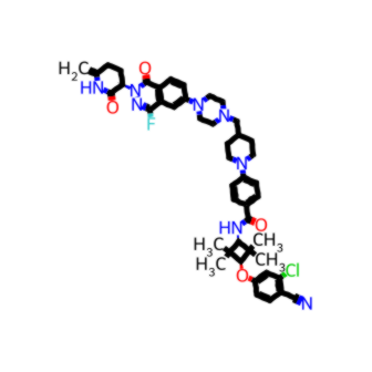 C=C1CC[C@@H](n2nc(F)c3cc(N4CCN(CC5CCN(c6ccc(C(=O)N[C@H]7C(C)(C)[C@H](Oc8ccc(C#N)c(Cl)c8)C7(C)C)cc6)CC5)CC4)ccc3c2=O)C(=O)N1